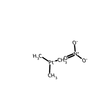 O=[N+]([O-])[O-].[CH3][Pt-]([CH3])[CH3]